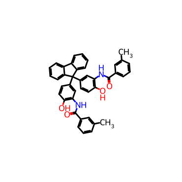 Cc1cccc(C(=O)Nc2cc(C3(c4ccc(O)c(NC(=O)c5cccc(C)c5)c4)c4ccccc4-c4ccccc43)ccc2O)c1